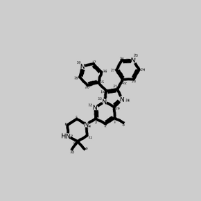 Cc1cc(N2CCNC(C)(C)C2)nn2c(-c3ccncc3)c(-c3ccncc3)nc12